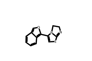 C1=C(c2occ3ccccc23)N2CCN=C2S1